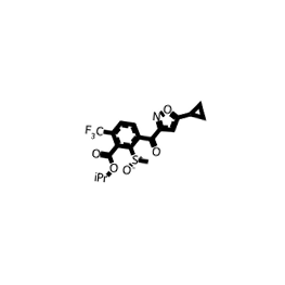 CC(C)OC(=O)c1c(C(F)(F)F)ccc(C(=O)c2cc(C3CC3)on2)c1[S+](C)[O-]